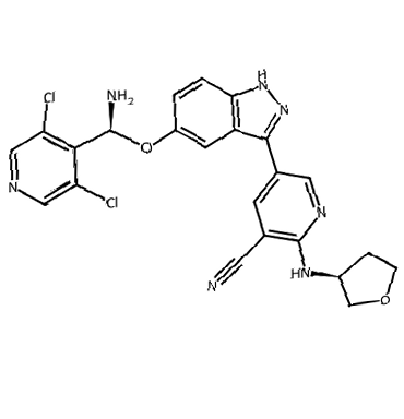 N#Cc1cc(-c2n[nH]c3ccc(O[C@H](N)c4c(Cl)cncc4Cl)cc23)cnc1N[C@H]1CCOC1